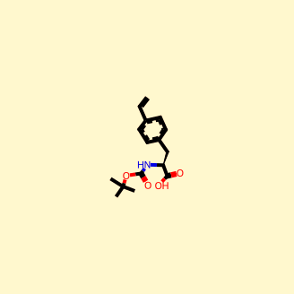 C=Cc1ccc(C[C@H](NC(=O)OC(C)(C)C)C(=O)O)cc1